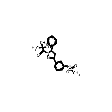 CC(C)(C)C(=O)N1N=C(c2cccc(NS(C)(=O)=O)c2)CC1c1ccccc1